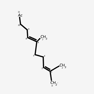 [CH2]/C(C)=C/CC/C(C)=C/CCC(C)=O